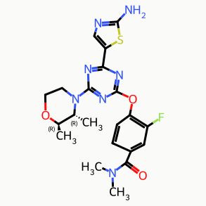 C[C@@H]1[C@@H](C)OCCN1c1nc(Oc2ccc(C(=O)N(C)C)cc2F)nc(-c2cnc(N)s2)n1